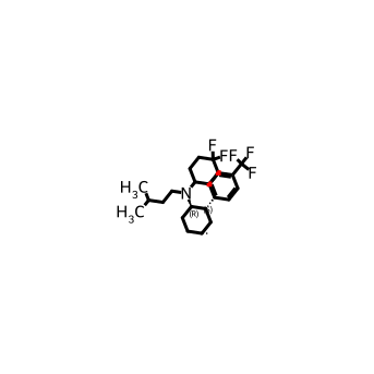 CC(C)CCN(C1CCC(F)(F)CC1)[C@@H]1CC[CH]C[C@H]1c1ccc(C(F)(F)F)cc1